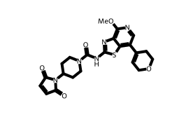 COc1ncc(C2=CCOCC2)c2sc(NC(=O)N3CCC(N4C(=O)C=CC4=O)CC3)nc12